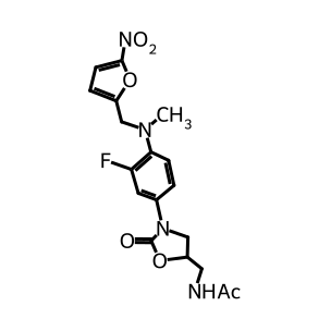 CC(=O)NCC1CN(c2ccc(N(C)Cc3ccc([N+](=O)[O-])o3)c(F)c2)C(=O)O1